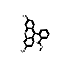 COC(=O)c1ccccc1-c1c2ccc(N)cc2[o+]c2cc(N)ccc12